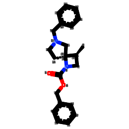 C[C@H]1CN(C(=O)OCc2ccccc2)[C@]12CCN(Cc1ccccc1)C2